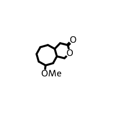 COC1CCCCC2CC(=O)OCC2C1